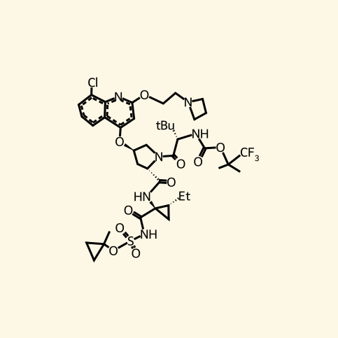 CC[C@@H]1C[C@]1(NC(=O)[C@@H]1C[C@@H](Oc2cc(OCCN3CCC3)nc3c(Cl)cccc23)CN1C(=O)[C@@H](NC(=O)OC(C)(C)C(F)(F)F)C(C)(C)C)C(=O)NS(=O)(=O)OC1(C)CC1